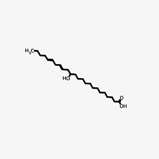 CCCCC=CCC=CCC(O)CCCCCCCCCCCCC(=O)O